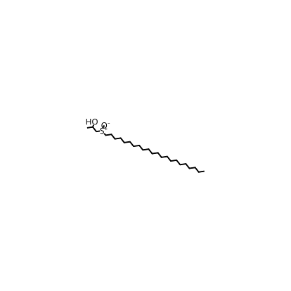 CCCCCCCCCCCCCCCCCCCCCC[S+]([O-])CC(C)O